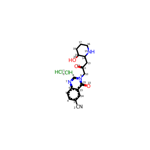 Cl.Cl.N#Cc1ccc2ncn(CC(=O)CC3NCCCC3O)c(=O)c2c1